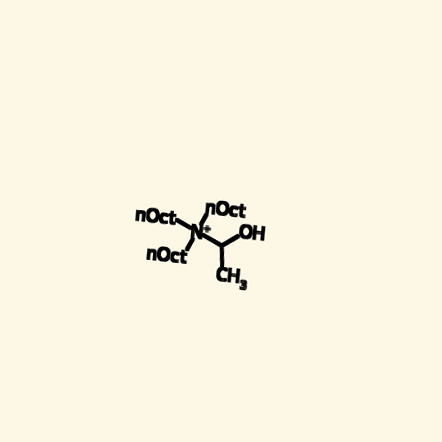 CCCCCCCC[N+](CCCCCCCC)(CCCCCCCC)C(C)O